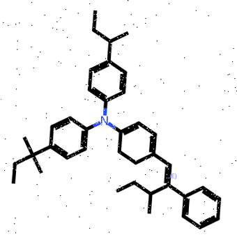 CCC(C)/C(=C\C1=CC=C(N(c2ccc(C(C)CC)cc2)c2ccc(C(C)(C)CC)cc2)CC1)c1ccccc1